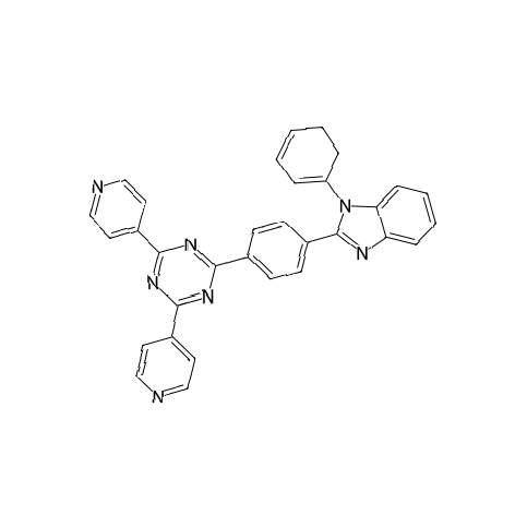 C1=CCCC(n2c(-c3ccc(-c4nc(-c5ccncc5)nc(-c5ccncc5)n4)cc3)nc3ccccc32)=C1